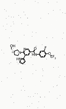 O=C(Nc1ccc(OC(F)(F)F)c(F)c1)c1cnc(N2CC[C@H](CO)C2)c(-c2ccc[nH]2)c1